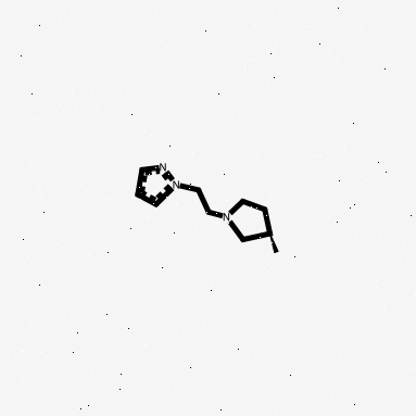 C[C@@H]1CCN(CCn2cccn2)C1